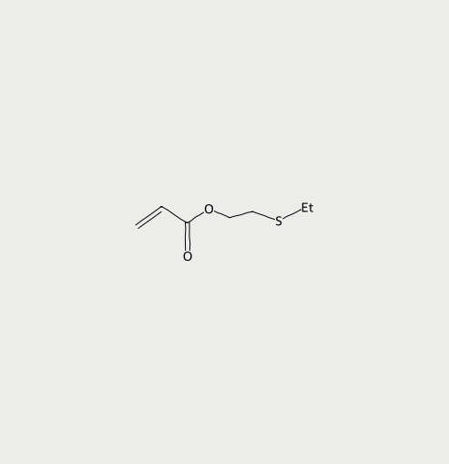 C=CC(=O)OCCSCC